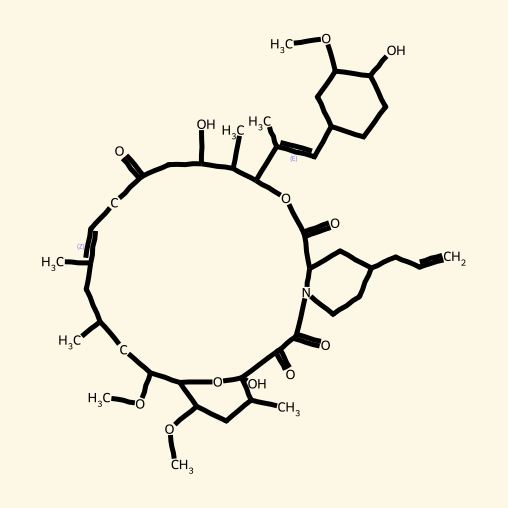 C=CCC1CCN2C(=O)C(=O)C3(O)OC(C(OC)CC(C)C/C(C)=C\CC(=O)CC(O)C(C)C(/C(C)=C/C4CCC(O)C(OC)C4)OC(=O)C2C1)C(OC)CC3C